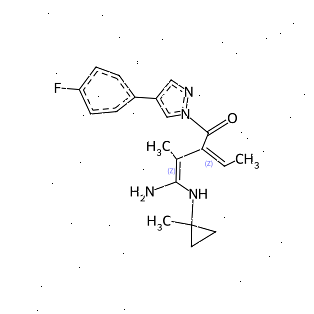 C/C=C(C(=O)n1cc(-c2ccc(F)cc2)cn1)/C(C)=C(/N)NC1(C)CC1